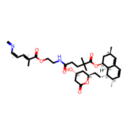 C=N/C=C\C=C(/C)C(=O)OCCNC(=O)CCC(C)(C)C(=O)O[C@H]1C[C@@H](C)C=C2C=C[C@H](C)[C@H](CC[C@@H]3C[C@@H](O)CC(=O)O3)[C@H]21